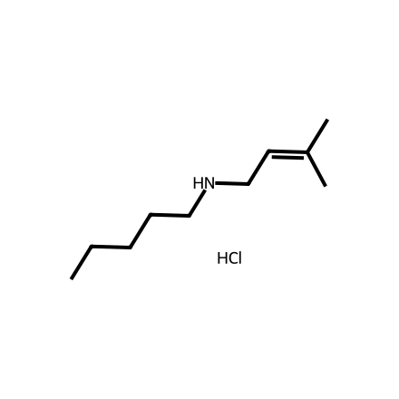 CCCCCNCC=C(C)C.Cl